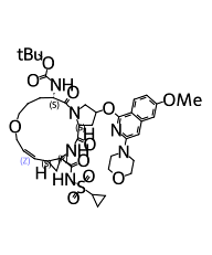 COc1ccc2c(OC3C[C@H]4C(=O)N[C@]5(C(=O)NS(=O)(=O)C6CC6)C[C@H]5/C=C\COCCC[C@H](NC(=O)OC(C)(C)C)C(=O)N4C3)nc(N3CCOCC3)cc2c1